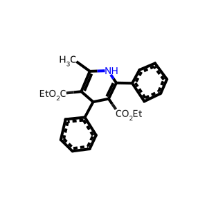 CCOC(=O)C1=C(C)NC(c2ccccc2)=C(C(=O)OCC)C1c1ccccc1